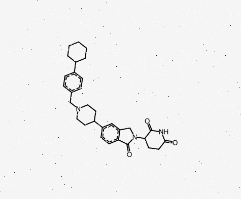 O=C1CCC(N2Cc3cc(C4CCN(Cc5ccc(C6CCCCC6)cc5)CC4)ccc3C2=O)C(=O)N1